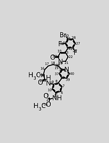 COC(=O)Nc1ccc2c(c1)NC(=O)[C@H](C)CCC[C@H](N1CCC(c3c(F)ccc(Br)c3F)=CC1=O)c1cc-2ccn1